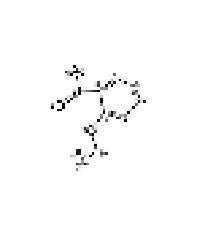 CC(=O)C(=O)c1ccccc1OCC(F)(F)F